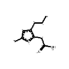 CCCc1cc(C)sc1CC(=O)O